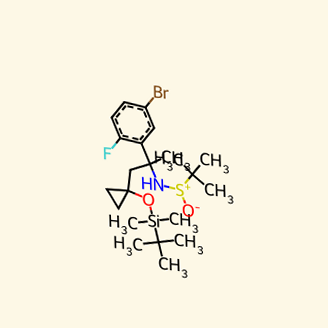 CC(CC1(O[Si](C)(C)C(C)(C)C)CC1)(N[S+]([O-])C(C)(C)C)c1cc(Br)ccc1F